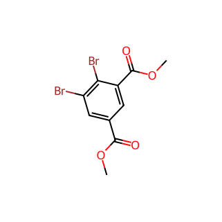 COC(=O)c1cc(Br)c(Br)c(C(=O)OC)c1